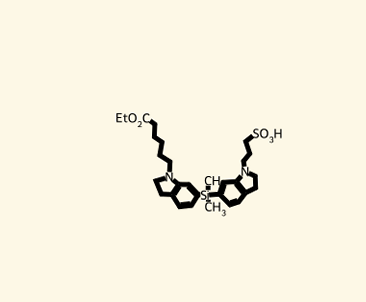 CCOC(=O)CCCCCN1CCc2ccc([Si](C)(C)c3ccc4c(c3)N(CCCS(=O)(=O)O)CC4)cc21